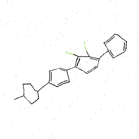 CC1CCC(c2ccc(-c3ccc(-c4ccccc4)c(F)c3F)cc2)CC1